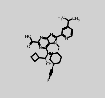 CC(C)c1ccnc(-c2nc3nc(C(=O)O)nc(N[C@H](C)C4CCC4)c3n2C[C@H]2CC[C@H](C#CF)CC2)c1